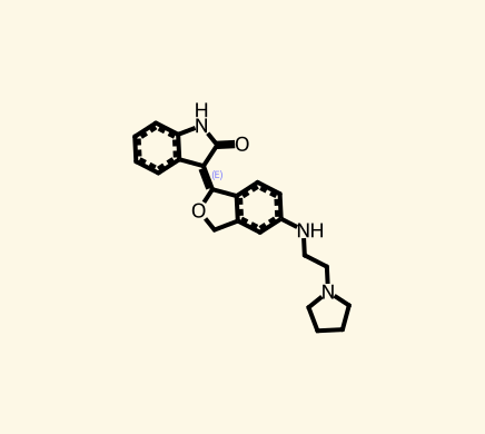 O=C1Nc2ccccc2/C1=C1\OCc2cc(NCCN3CCCC3)ccc21